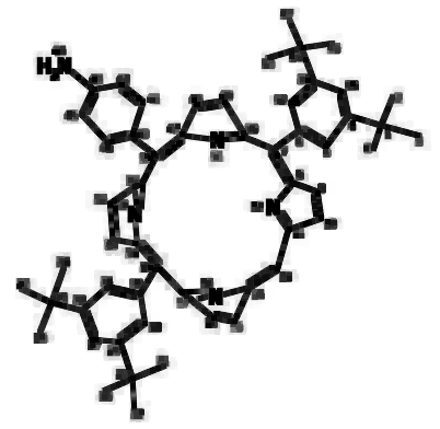 CC(C)(C)c1cc(C2=C3C=CC(=N3)C=C3C=CC(=N3)C(c3cc(C(C)(C)C)cc(C(C)(C)C)c3)=C3C=CC(=N3)C(c3ccc(N)cc3)=C3C=CC2=N3)cc(C(C)(C)C)c1